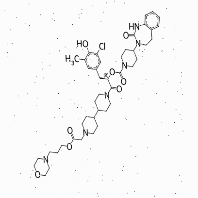 Cc1cc(C[C@@H](OC(=O)N2CCC(N3CCc4ccccc4NC3=O)CC2)C(=O)N2CCC(C3CCN(CC(=O)OCCCN4CCOCC4)CC3)CC2)cc(Cl)c1O